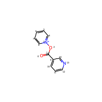 O=C(O[n+]1ccccc1)c1cccnc1